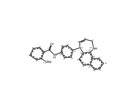 CSc1ccccc1C(=O)Nc1ccc(N2C=CCNc3c2ccc2ccccc32)cc1